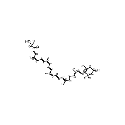 CC(C=CC=C(C)C=CC=C(C)C=CC(=O)C(C)(C)O)=CC=CC=C(C)C=CC=C(C)C=CC1=C(C)C[C@@H](O)CC1(C)C